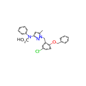 Cc1cc(N(C(=O)O)c2ccccc2)nn1Cc1cc(Cl)ccc1OCc1ccccc1